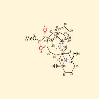 COC(=O)C(=O)c1cn([C@H]2C[C@H]3CCC[C@@H](C2)N3C2CCCCCCCCC2)c2ccccc12